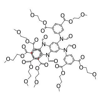 COCCOC(=O)c1cc(C(=O)OCCOC)cc(N(C=O)c2cc(N(C=O)c3cc(C(=O)OCCOC)cc(C(=O)OCCOC)c3)c(N(C=O)c3cc(C(=O)OCCOC)cc(C(=O)OCCOC)c3)cc2N(C=O)c2cc(C(=O)OCCOC)cc(C(=O)OCCOC)c2)c1